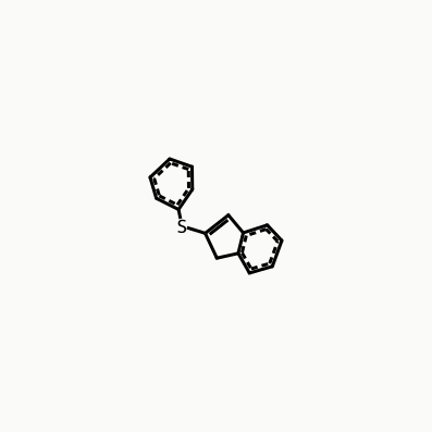 C1=C(Sc2ccccc2)Cc2ccccc21